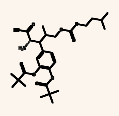 CC(C)CCOC(=O)OCC(C)C(c1ccc(OC(=O)C(C)(C)C)c(OC(=O)C(C)(C)C)c1)[C@H](N)C(=O)O